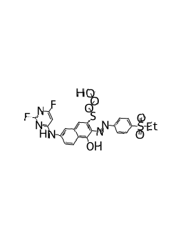 CCS(=O)(=O)c1ccc(/N=N/c2c(SOOO)cc3cc(Nc4cc(F)nc(F)n4)ccc3c2O)cc1